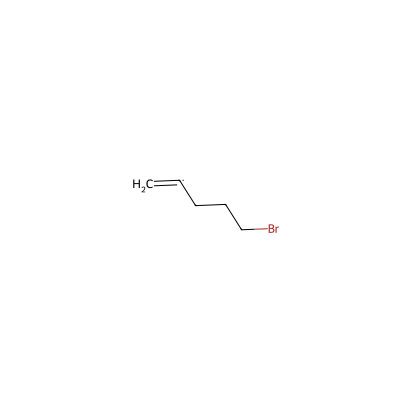 C=[C]CCCBr